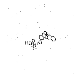 CC(C)(C)N(CCOc1ccc(C=O)c(OCc2ccccc2Br)c1)C(=O)O